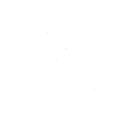 CCCCCCOc1ccc(-c2ncc(OCCCCCC)cn2)cc1